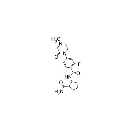 CN1CCN(c2ccc(C(=O)NC3CCCC3C(N)=O)c(F)c2)C(=O)C1